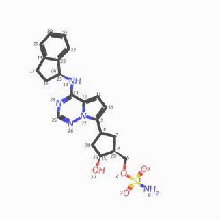 NS(=O)(=O)OC[C@@H]1CC(c2ccc3c(N[C@H]4CCc5ccccc54)ncnn23)C[C@@H]1O